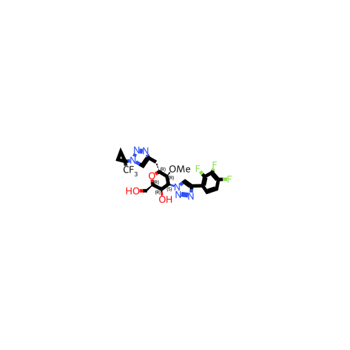 CO[C@@H]1[C@@H](n2cc(-c3ccc(F)c(F)c3F)nn2)[C@@H](O)[C@@H](CO)O[C@@H]1Cc1cn(C2(C(F)(F)F)CC2)nn1